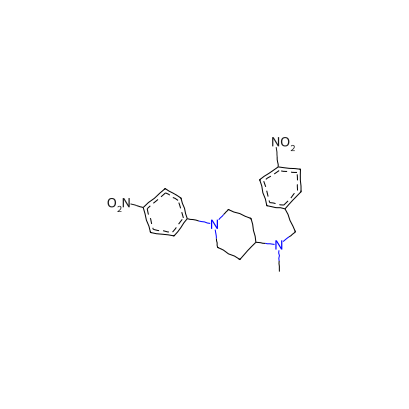 CN(Cc1ccc([N+](=O)[O-])cc1)C1CCN(c2ccc([N+](=O)[O-])cc2)CC1